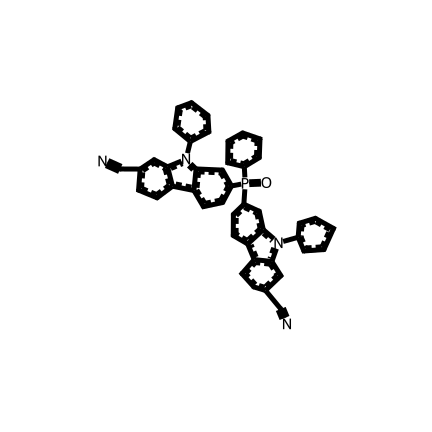 N#Cc1ccc2c3ccc(P(=O)(c4ccccc4)c4ccc5c6ccc(C#N)cc6n(-c6ccccc6)c5c4)cc3n(-c3ccccc3)c2c1